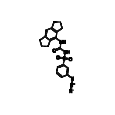 [N-]=[N+]=Nc1cccc(S(=O)(=O)NC(=O)Nc2c3c(cc4c2CCC4)CCC3)c1